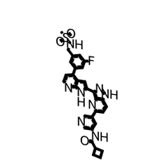 CS(=O)(=O)NCc1cc(F)cc(-c2ccnc3[nH]c(-c4n[nH]c5ccc(-c6cncc(NC(=O)C7CCC7)c6)nc45)cc23)c1